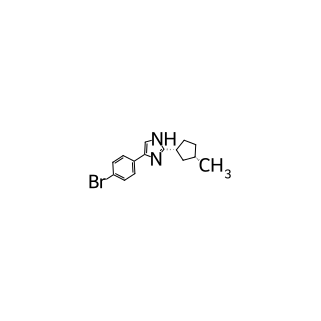 C[C@H]1CC[C@@H](c2nc(-c3ccc(Br)cc3)c[nH]2)C1